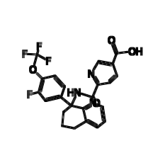 O=C(O)c1ccc(C(=O)NC2(c3ccc(OC(F)(F)F)c(F)c3)CCCc3cccnc32)nc1